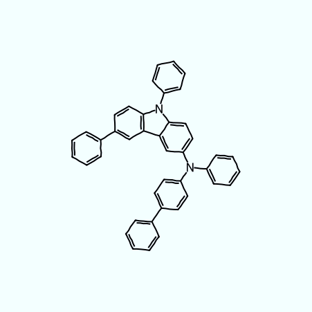 c1ccc(-c2ccc(N(c3ccccc3)c3ccc4c(c3)c3cc(-c5ccccc5)ccc3n4-c3ccccc3)cc2)cc1